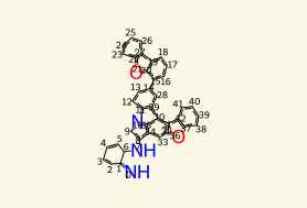 N=C1C=CC=CC1Nc1cn2c3ccc(-c4cccc5c4oc4ccccc45)cc3c3c4c(cc1c32)oc1ccccc14